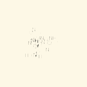 CN(C)C(=O)Cc1cc(Oc2nc(Oc3cc(C#N)ccc3N)nc3c2NC(=O)C(CCC(N)=O)O3)cc(-c2ncc[nH]2)c1